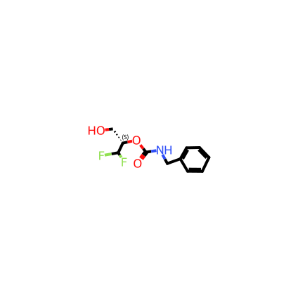 O=C(NCc1ccccc1)O[C@@H](CO)C(F)F